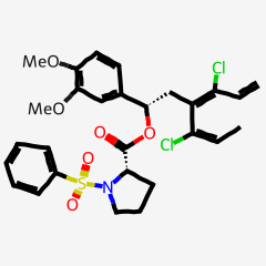 C=C/C(Cl)=C(C[C@H](OC(=O)[C@@H]1CCCN1S(=O)(=O)c1ccccc1)c1ccc(OC)c(OC)c1)\C(Cl)=C/C